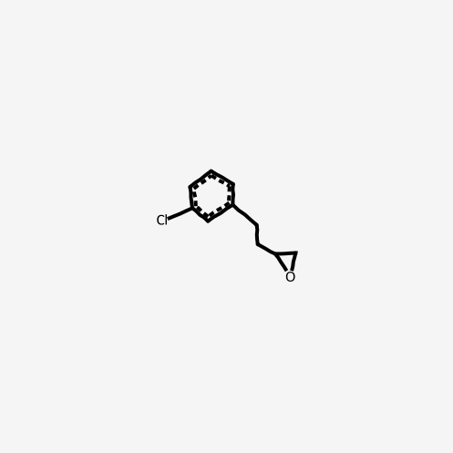 Clc1cccc(CCC2CO2)c1